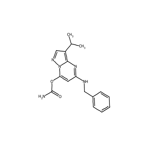 CC(C)c1cnn2c(OC(N)=O)cc(NCc3ccccc3)nc12